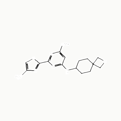 COc1cc(NC2CCC3(CC2)COC3)nc(-c2nc(C)cs2)n1